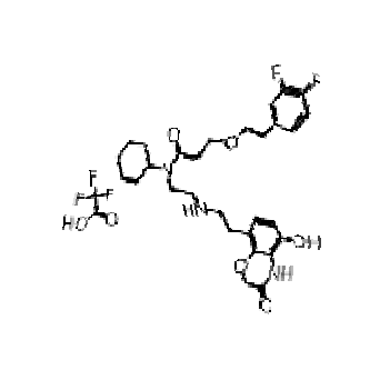 O=C(O)C(F)(F)F.O=C1COc2c(CCNCCN(C(=O)CCOCCc3ccc(F)c(F)c3)C3CCCCC3)ccc(O)c2N1